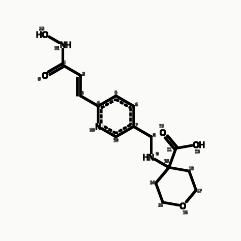 O=C(C=Cc1ccc(CNC2(C(=O)O)CCOCC2)cn1)NO